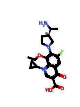 CCOc1c(N2CC[C@H](C(C)N)C2)c(F)cc2c(=O)c(C(=O)O)cn(C3CC3)c12